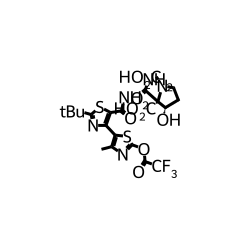 Cc1nc(OC(=O)C(F)(F)F)sc1-c1nc(C(C)(C)C)sc1C(N)=O.NC(=O)[C@]1(C(=O)O)[C@@H](O)CCN1C(=O)O